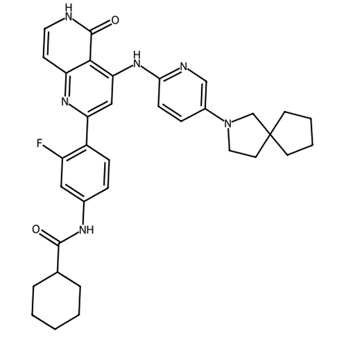 O=C(Nc1ccc(-c2cc(Nc3ccc(N4CCC5(CCCC5)C4)cn3)c3c(=O)[nH]ccc3n2)c(F)c1)C1CCCCC1